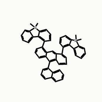 C[Si]1(C)c2ccccc2-c2c(-c3cccc4c(-c5cccc6ccccc56)c5cccc(-c6cccc7c6-c6ccccc6[Si]7(C)C)c5cc34)cccc21